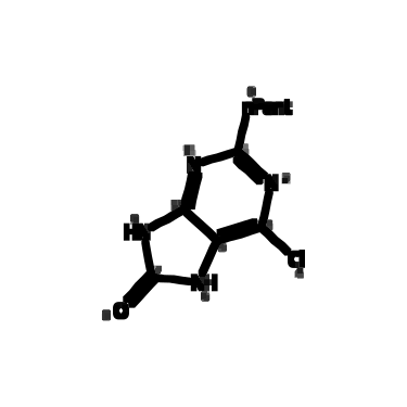 CCCCCc1nc(Cl)c2[nH]c(=O)[nH]c2n1